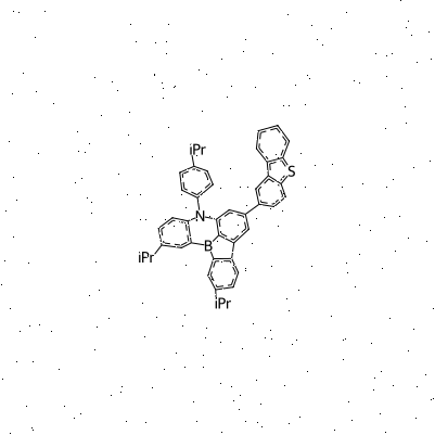 CC(C)c1ccc(N2c3ccc(C(C)C)cc3B3c4cc(C(C)C)ccc4-c4cc(-c5ccc6sc7ccccc7c6c5)cc2c43)cc1